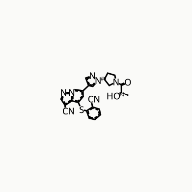 C[C@@H](O)C(=O)N1CC[C@@H](n2cc(-c3cc(Sc4ccccc4C#N)c4c(C#N)cnn4c3)cn2)C1